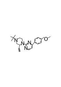 C#CC1CN(C(C)(C)C)CCN1c1nccc(-c2ccc(COC)cc2)n1